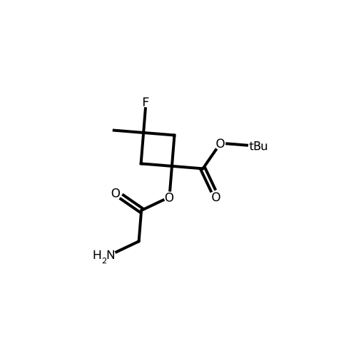 CC1(F)CC(OC(=O)CN)(C(=O)OC(C)(C)C)C1